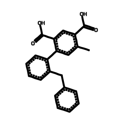 Cc1cc(-c2ccccc2Cc2ccccc2)c(C(=O)O)cc1C(=O)O